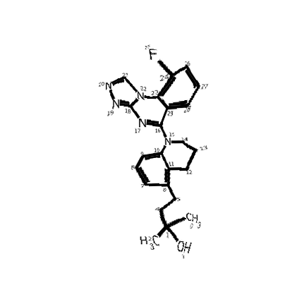 CC(C)(O)CCc1cccc2c1CCCN2c1nc2nncn2c2c(F)cccc12